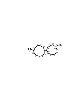 C[C@@H]1CCCCCC(C2CCCCCC(N)CCCC2)CCC1